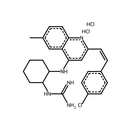 Cc1ccc2nc(/C=C\c3ccc(Cl)cc3)cc(NC3CCCCC3NC(=N)N)c2c1.Cl.Cl